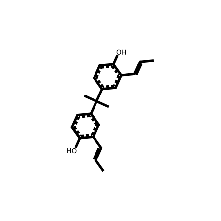 C/C=C/c1cc(C(C)(C)c2ccc(O)c(/C=C/C)c2)ccc1O